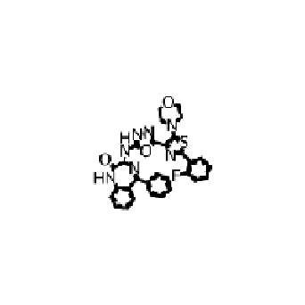 O=C1Nc2ccccc2C(c2ccccc2)=N[C@@H]1Nc1nnc(-c2nc(-c3ccccc3F)sc2N2CCOCC2)o1